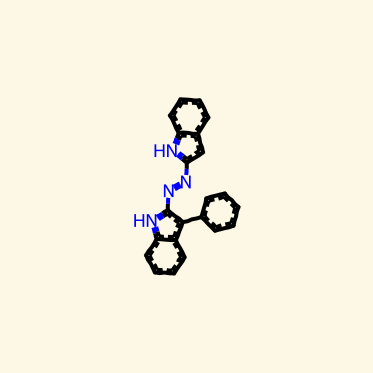 c1ccc(-c2c(N=Nc3cc4ccccc4[nH]3)[nH]c3ccccc23)cc1